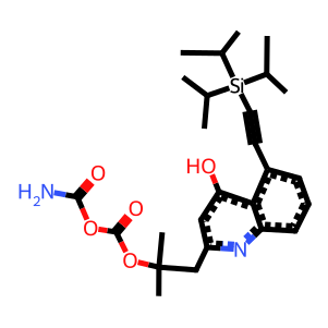 CC(C)[Si](C#Cc1cccc2nc(CC(C)(C)OC(=O)OC(N)=O)cc(O)c12)(C(C)C)C(C)C